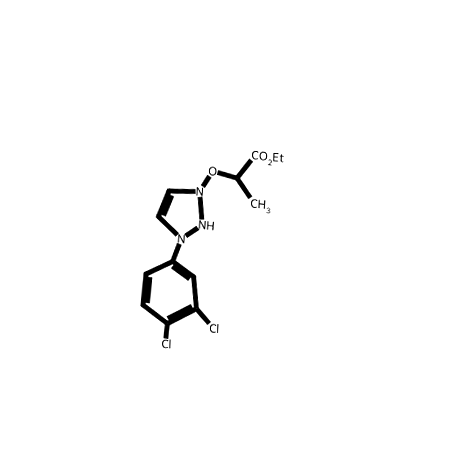 CCOC(=O)C(C)ON1C=CN(c2ccc(Cl)c(Cl)c2)N1